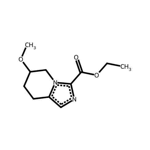 CCOC(=O)c1ncc2n1CC(OC)CC2